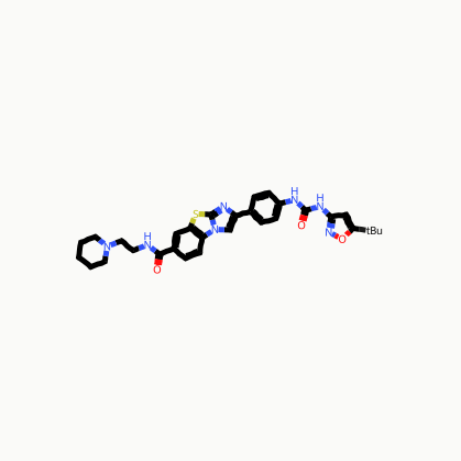 CC(C)(C)c1cc(NC(=O)Nc2ccc(-c3cn4c(n3)sc3cc(C(=O)NCCN5CCCCC5)ccc34)cc2)no1